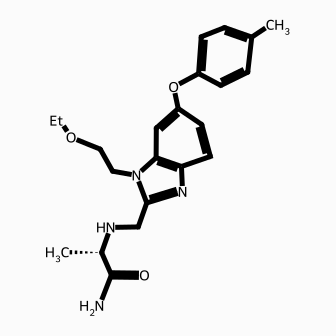 CCOCCn1c(CN[C@@H](C)C(N)=O)nc2ccc(Oc3ccc(C)cc3)cc21